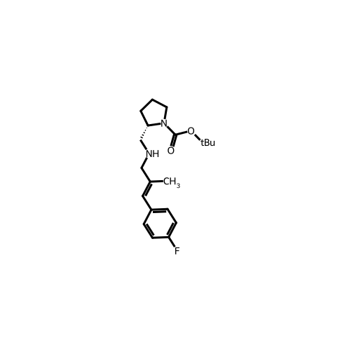 C/C(=C\c1ccc(F)cc1)CNC[C@@H]1CCCN1C(=O)OC(C)(C)C